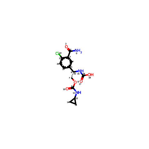 NC(=O)c1cc([C@@H](COC(=O)NC2CC2)NC(=O)O)ccc1Cl